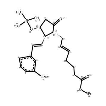 COc1cccc(C=C[C@@H]2[C@H](O[Si](C)(C)C(C)(C)C)CC(=O)[C@@H]2CC=CCCCC(=O)OC(C)C)c1